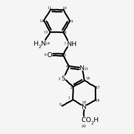 CC1c2sc(C(=O)Nc3ccccc3N)nc2CCN1C(=O)O